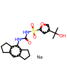 CC(C)(O)c1coc(S(=O)(=O)NC(=O)Nc2c3c(cc4c2CCC4)CCC3)c1.[Na]